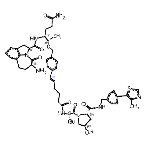 Cc1ncsc1-c1ccc(CNC(=O)[C@@H]2C[C@@H](O)CN2C(=O)[C@@H](NC(=O)CCC/C=C/c2ccc(CO[C@H](C)[C@H](CCC(N)=O)NC(=O)[C@@H]3Cc4cccc5c4N3C(=O)[C@@H](N)CC5)cc2)C(C)(C)C)cc1